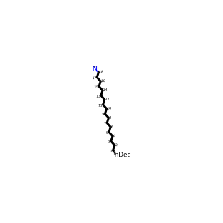 CCCCCCCCCCCCCCCCCCCCCCCCCCCC[N]